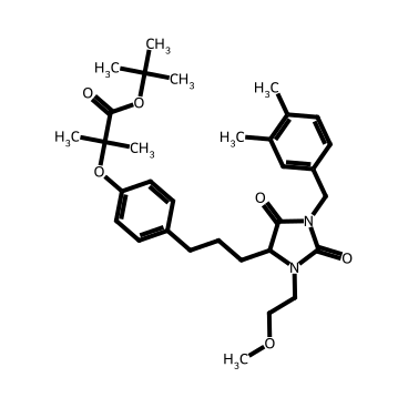 COCCN1C(=O)N(Cc2ccc(C)c(C)c2)C(=O)C1CCCc1ccc(OC(C)(C)C(=O)OC(C)(C)C)cc1